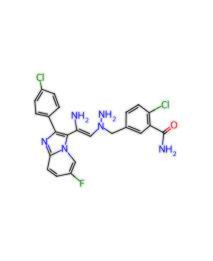 NC(=O)c1cc(CN(N)/C=C(\N)c2c(-c3ccc(Cl)cc3)nc3ccc(F)cn23)ccc1Cl